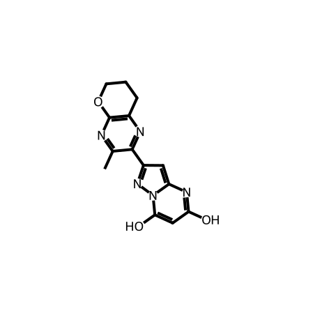 Cc1nc2c(nc1-c1cc3nc(O)cc(O)n3n1)CCCO2